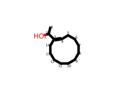 CC(O)/C1=C\CCCCCCCCCC1